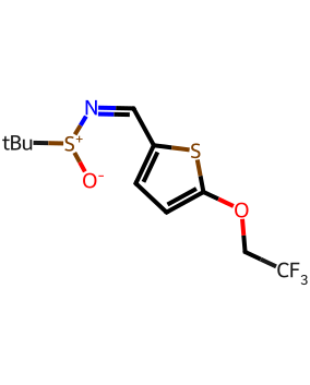 CC(C)(C)[S+]([O-])/N=C\c1ccc(OCC(F)(F)F)s1